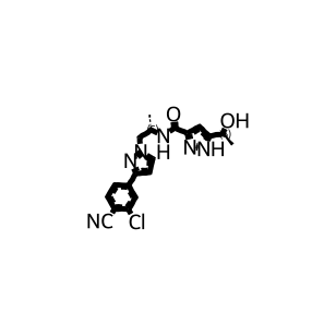 C[C@H](O)c1cc(C(=O)N[C@@H](C)Cn2ccc(-c3ccc(C#N)c(Cl)c3)n2)n[nH]1